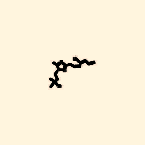 C=C/C=C(Cl)\C=C/Cc1nc(C)n(CCC(C)(C)C(C)C)n1